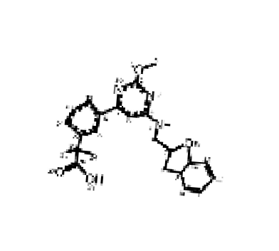 COc1nc(NCC2CC3C=CC=CC3O2)cc(-c2cccc(C(C)(C)C(=O)O)c2)n1